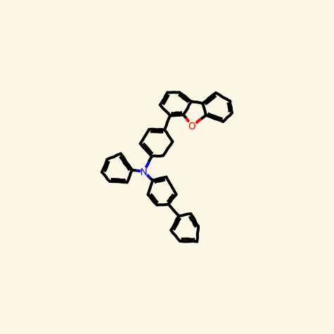 C1=C(c2cccc3c2oc2ccccc23)CCC(N(c2ccccc2)c2ccc(-c3ccccc3)cc2)=C1